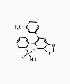 NS(=O)(=O)c1ccccc1-c1cc2c(cc1-c1cccc(C(F)(F)F)c1)OCO2